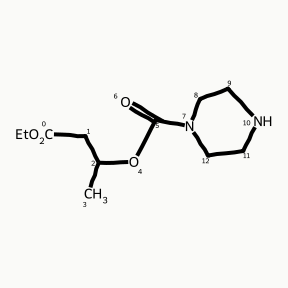 CCOC(=O)CC(C)OC(=O)N1CCNCC1